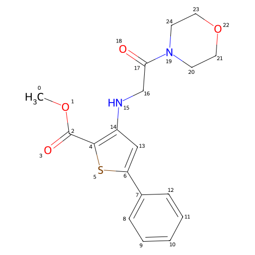 COC(=O)c1sc(-c2ccccc2)cc1NCC(=O)N1CCOCC1